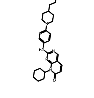 O=c1ccc2cnc(Nc3ccc(N4CCC(CCO)CC4)cc3)nc2n1C1CCCCC1